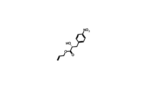 C=CCOC(=O)[C@H](O)Cc1ccc([N+](=O)[O-])cc1